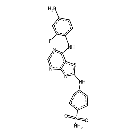 Bc1ccc(Nc2ncnc3nc(Nc4ccc(S(N)(=O)=O)cc4)sc23)c(F)c1